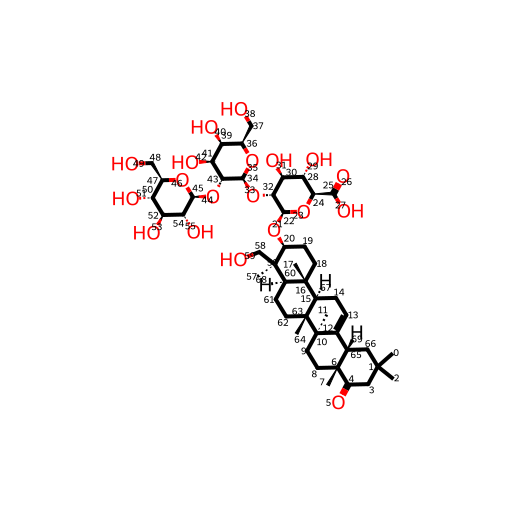 CC1(C)CC(=O)[C@]2(C)CC[C@]3(C)C(=CC[C@@H]4[C@@]5(C)CC[C@H](O[C@@H]6O[C@H](C(=O)O)[C@@H](O)[C@H](O)[C@H]6O[C@@H]6O[C@H](CO)[C@H](O)[C@H](O)[C@H]6O[C@@H]6O[C@H](CO)[C@@H](O)[C@H](O)[C@H]6O)[C@](C)(CO)[C@@H]5CC[C@]43C)[C@@H]2C1